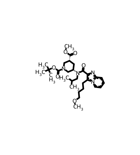 COCCCCc1c(C(=O)N(CC(C)C)[C@H]2C[C@@H](C(=O)OC)CN(C(=O)OC(C)(C)C)C2)nc2ccccn12